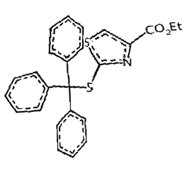 CCOC(=O)c1csc(SC(c2ccccc2)(c2ccccc2)c2ccccc2)n1